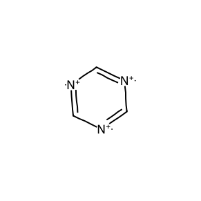 C1=[N+]C=[N+]C=[N+]1